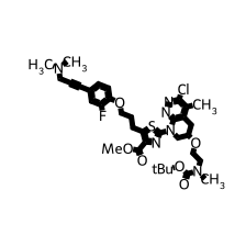 COC(=O)c1nc(N2CC(OCCN(C)C(=O)OC(C)(C)C)Cc3c2nnc(Cl)c3C)sc1CCCOc1ccc(C#CCN(C)C)cc1F